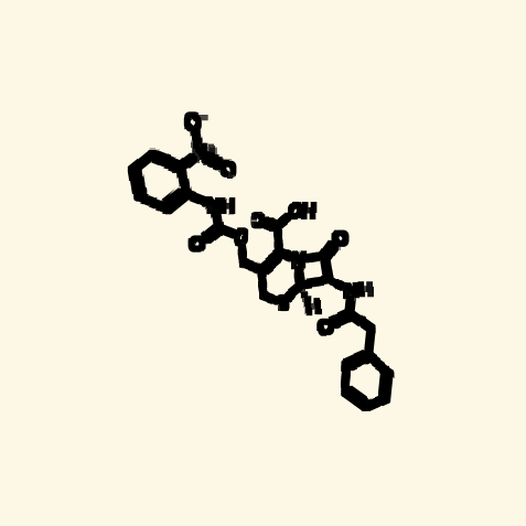 O=C(Cc1ccccc1)N[C@@H]1C(=O)N2C(C(=O)O)=C(COC(=O)Nc3ccccc3[N+](=O)[O-])CS[C@H]12